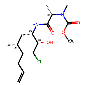 C=CCC[C@H](C)C[C@H](NC(=O)[C@H](C)N(C)C(=O)OC(C)(C)C)[C@H](O)CCl